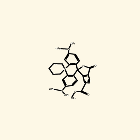 CCCN(CCC)c1ccc2c(c1)[Si]1(CCCCC1)c1cc(N(CCC)CCC)ccc1C21OC(=O)c2ccc(C(=O)OC(C)(C)C)cc21